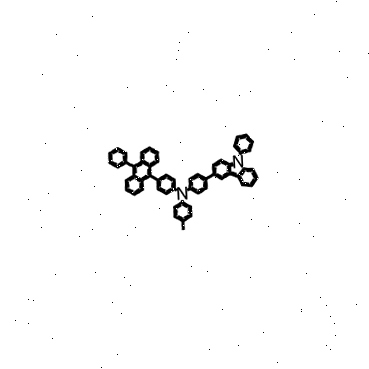 Cc1ccc(N(c2ccc(-c3ccc4c(c3)c3ccccc3n4-c3ccccc3)cc2)c2ccc(-c3c4ccccc4c(-c4ccccc4)c4ccccc34)cc2)cc1